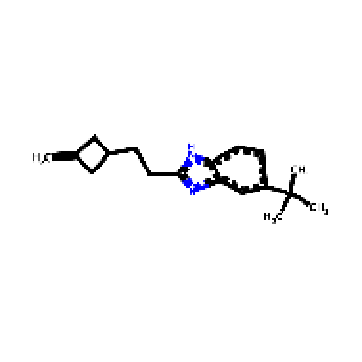 C=C1CC(CCc2nc3cc(C(C)(C)C)ccc3[nH]2)C1